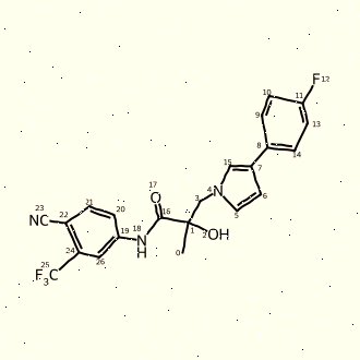 CC(O)(Cn1ccc(-c2ccc(F)cc2)c1)C(=O)Nc1ccc(C#N)c(C(F)(F)F)c1